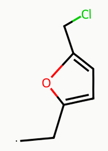 [CH2]Cc1ccc(CCl)o1